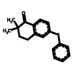 CC1(C)CCc2cc(Sc3ccccc3)ccc2C1=O